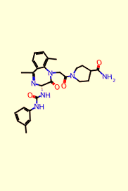 CC1=N[C@@H](NC(=O)Nc2cccc(C)c2)C(=O)N(CC(=O)N2CCC(C(N)=O)CC2)c2c(C)cccc21